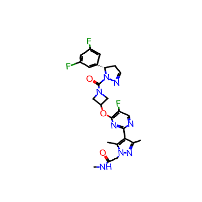 CNC(=O)Cn1nc(C)c(-c2ncc(F)c(OC3CN(C(=O)N4N=CC[C@H]4c4cc(F)cc(F)c4)C3)n2)c1C